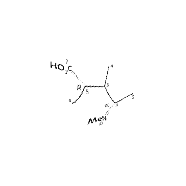 CN[C@@H](C)C(C)[C@H](C)C(=O)O